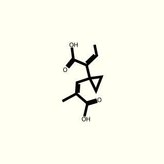 CC=C(C(=O)O)C1(C=C(C)C(=O)O)CC1